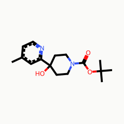 Cc1ccnc(C2(O)CCN(C(=O)OC(C)(C)C)CC2)c1